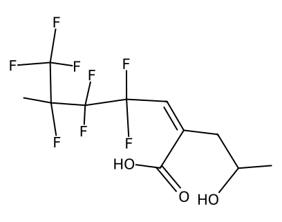 CC(O)CC(=CC(F)(F)C(F)(F)C(C)(F)C(F)(F)F)C(=O)O